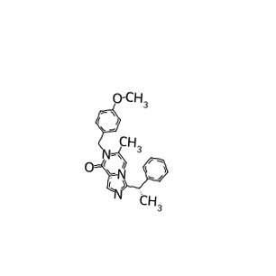 COc1ccc(Cn2c(C)cn3c([C@@H](C)c4ccccc4)ncc3c2=O)cc1